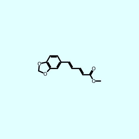 COC(=O)C=CC=Cc1ccc2c(c1)OCO2